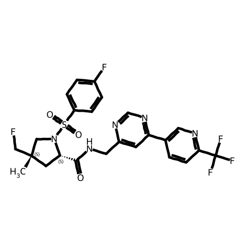 C[C@]1(CF)C[C@@H](C(=O)NCc2cc(-c3ccc(C(F)(F)F)nc3)ncn2)N(S(=O)(=O)c2ccc(F)cc2)C1